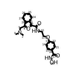 CN(C)Cc1oc(C(=O)NCCOc2ccc(C(=O)NO)cc2)c2ccccc12